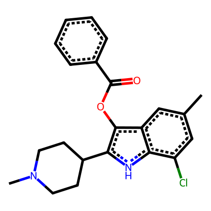 Cc1cc(Cl)c2[nH]c(C3CCN(C)CC3)c(OC(=O)c3ccccc3)c2c1